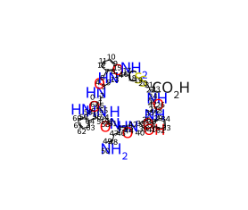 C[C@@H]1NC(=O)[C@H](Cc2ccccc2)NC(=O)[C@@H](N)CSSC[C@@H](C(=O)O)NC(=O)[C@H](Cc2ccccc2)NC(=O)[C@H]([C@@H](C)O)NC(=O)[C@H](CCCCN)NC(=O)[C@H](Cc2c[nH]c3ccccc23)NC1=O